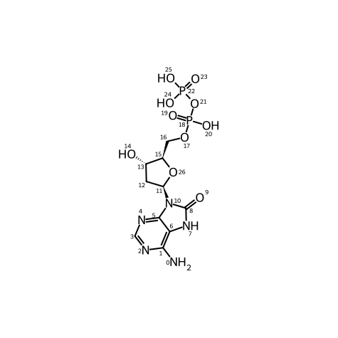 Nc1ncnc2c1[nH]c(=O)n2[C@H]1C[C@H](O)[C@@H](COP(=O)(O)OP(=O)(O)O)O1